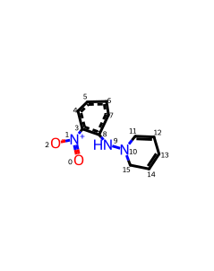 O=[N+]([O-])c1ccccc1NN1C=CC=CC1